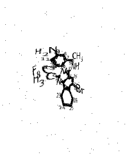 Cc1nc(N[C@H](C)c2cc(N)cc(C(F)(F)F)c2)c2cc(Br)c3c(c2n1)CCCC3